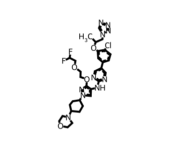 CC(Cn1cnnn1)Oc1cc(-c2cnc(Nc3cn(C4CCC(N5CCOCC5)CC4)nc3OCCOCC(F)F)nc2)ccc1Cl